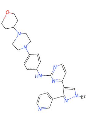 CCn1cc(-c2ccnc(Nc3ccc(N4CCN(C5CCOCC5)CC4)cc3)n2)c(-c2cccnc2)n1